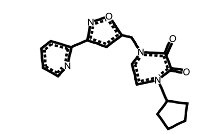 O=c1c(=O)n(C2CCCC2)ccn1Cc1cc(-c2ccccn2)no1